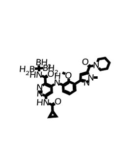 BC(B)(B)NC(=O)c1nnc(NC(=O)C2CC2)cc1Nc1cccc(-c2cc(C(=O)N3CCCCC3)n(C)n2)c1OC